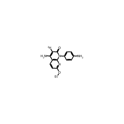 [2H]c1c(N)c2ccc(OCC)nc2n(-c2ccc(N)cc2)c1=O